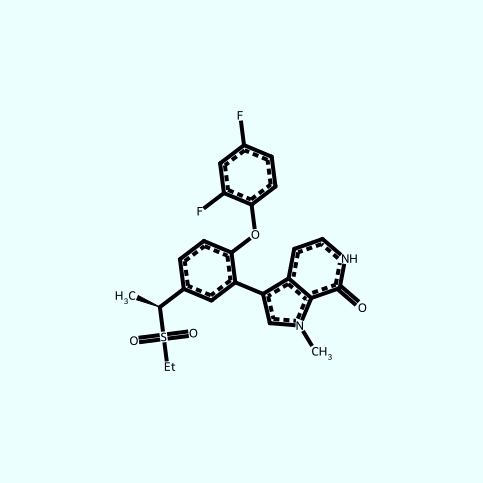 CCS(=O)(=O)[C@@H](C)c1ccc(Oc2ccc(F)cc2F)c(-c2cn(C)c3c(=O)[nH]ccc23)c1